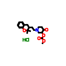 COC(=O)OC1CN(CCC2Cc3ccccc3OC2(C)C)CCC1=O.Cl